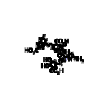 Cc1cc(SCC2=C(C(=O)O)N3C(=O)[C@@H](NC(=O)/C(=N\OCc4cc(O)c(O)c(C(=O)O)c4)c4csc(N)n4)[C@H]3SC2)n2nc(C(=O)O)nc2n1